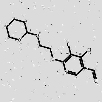 O=Cc1cnc(OCCOC2CCCCO2)c(F)c1Cl